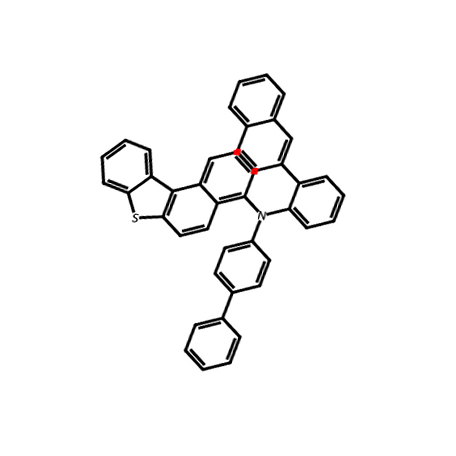 c1ccc(-c2ccc(N(c3ccccc3-c3ccc4ccccc4c3)c3cccc4c3ccc3sc5ccccc5c34)cc2)cc1